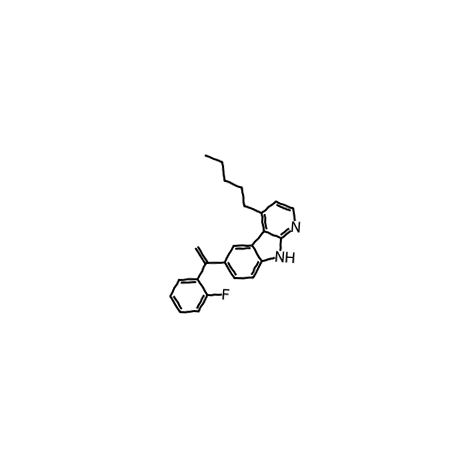 C=C(c1ccc2[nH]c3nccc(CCCCC)c3c2c1)c1ccccc1F